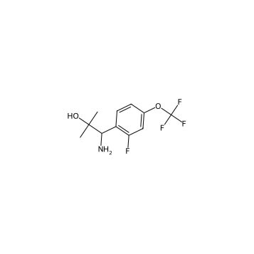 CC(C)(O)C(N)c1ccc(OC(F)(F)F)cc1F